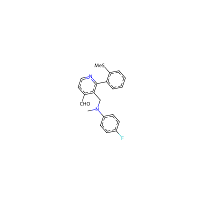 CSc1ccccc1-c1nccc(C=O)c1CN(C)c1ccc(F)cc1